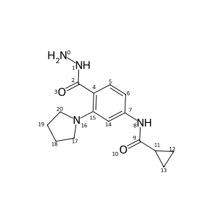 NNC(=O)c1ccc(NC(=O)C2CC2)cc1N1CCCC1